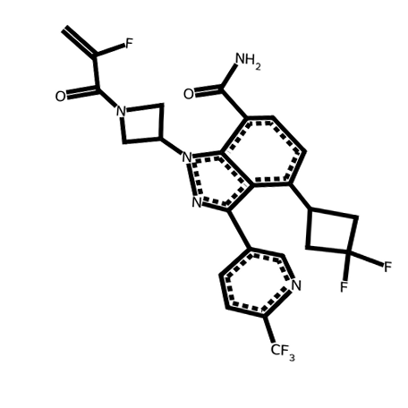 C=C(F)C(=O)N1CC(n2nc(-c3ccc(C(F)(F)F)nc3)c3c(C4CC(F)(F)C4)ccc(C(N)=O)c32)C1